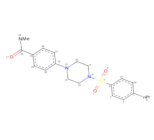 CCCc1ccc(S(=O)(=O)N2CCN(c3ccc(C(=O)NC)cc3)CC2)cc1